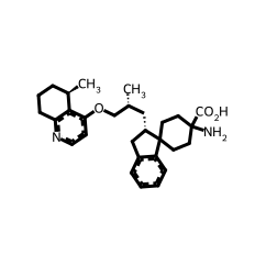 C[C@@H](COc1ccnc2c1[C@H](C)CCC2)C[C@H]1Cc2ccccc2C12CCC(N)(C(=O)O)CC2